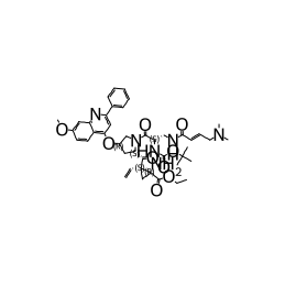 C=C[C@@]1(C(=O)[C@@H]2C[C@@H](Oc3cc(-c4ccccc4)nc4cc(OC)ccc34)CN2C(=O)[C@H](CNC(=O)C=CCN(C)C)NC(=O)OC(C)(C)C)C[C@]1(N)C(=O)OCC